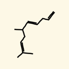 C=CCC=CC(C)CC=C(C)C